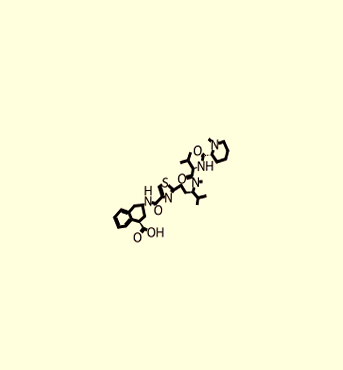 CC(C)[C@H](NC(=O)[C@H]1CCCCN1C)C(=O)N(C)[C@H](CCc1nc(C(=O)N[C@H]2Cc3ccccc3[C@H](C(=O)O)C2)cs1)C(C)C